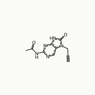 C#CCn1c(=O)[nH]c2nc(NC(C)=O)ncc21